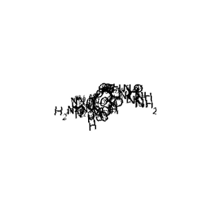 Nc1nc2c(ncn2[C@@H]2O[C@@H]3COP(=O)(O)OC4C(O)[C@H](n5cnc6c(N)ncnc65)O[C@@H]4COP(=O)(O)C(F)(F)C2C3O)c(=O)[nH]1